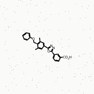 Cc1cc(-c2nnc(-c3cccc(C(=O)O)c3)o2)cc(C)c1COc1ccccc1